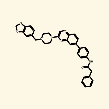 O=C(Cc1ccccc1)Nc1ccc(-c2ccc3ncc(N4CCN(Cc5ccc6c(c5)OCO6)CC4)nc3c2)cc1